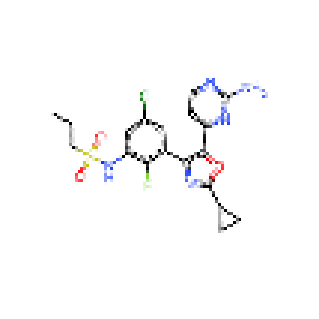 CCCS(=O)(=O)Nc1cc(Cl)cc(-c2nc(C3CC3)oc2-c2ccnc(N)n2)c1F